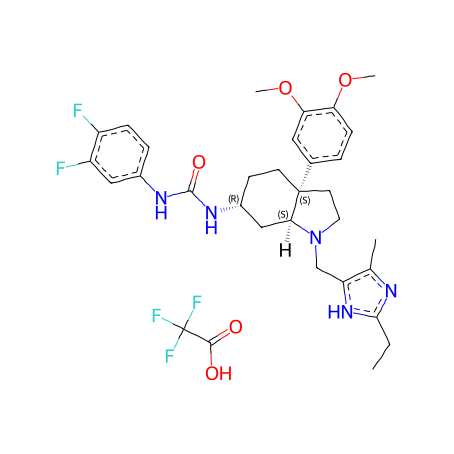 CCc1nc(C)c(CN2CC[C@]3(c4ccc(OC)c(OC)c4)CC[C@@H](NC(=O)Nc4ccc(F)c(F)c4)C[C@H]23)[nH]1.O=C(O)C(F)(F)F